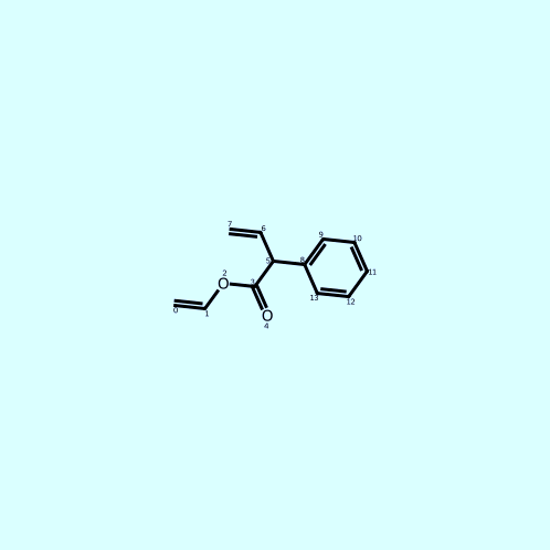 C=COC(=O)C(C=C)c1ccccc1